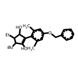 CCC(C)C1C(O)=C(c2c(C)cc(OCc3ccccc3)cc2C)C(O)C1CC